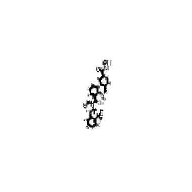 CN(Cc1ccc(C(=O)NO)cc1)c1ccccc1C(=O)N(C=O)CCc1ccccc1C(F)(F)F